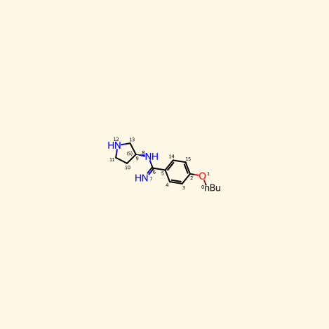 CCCCOc1ccc(C(=N)N[C@H]2CCNC2)cc1